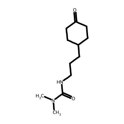 CN(C)C(=O)NCCCC1CCC(=O)CC1